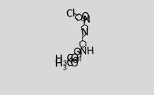 CC1(C)OC[C@H](CC(=O)N[C@H]2CC[C@H](CCN3CCC(c4noc5cc(Cl)ccc45)CC3)CC2)O1